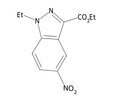 CCOC(=O)c1nn(CC)c2ccc([N+](=O)[O-])cc12